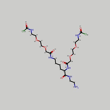 NCCNC(=O)C(CCCCNC(=O)COCCOCCNC(=O)Cl)NC(=O)COCCOCCNC(=O)Cl